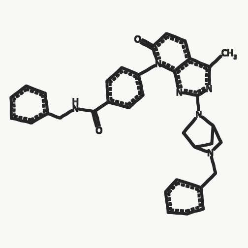 Cc1nc(N2CC3CC2CN3Cc2ccccc2)nc2c1ccc(=O)n2-c1ccc(C(=O)NCc2ccccc2)cc1